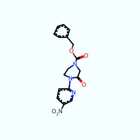 O=C(OCc1ccccc1)N1CCN(c2ccc([N+](=O)[O-])cn2)C(=O)C1